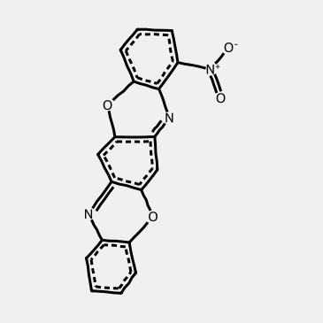 O=[N+]([O-])c1cccc2c1N=c1cc3c(cc1O2)=Nc1ccccc1O3